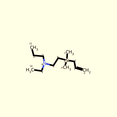 C=CC[Si](C)(C)CCN(CC)CCC